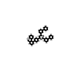 c1ccc(-c2cccc(-c3cc(-c4ccc(-c5cccc6c5-c5ccccc5OC6)cc4)nc(-c4cccc(-c5ccccc5)c4)n3)c2)cc1